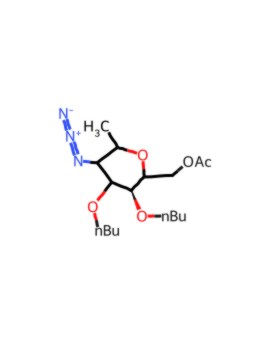 CCCCOC1C(N=[N+]=[N-])C(C)OC(COC(C)=O)[C@H]1OCCCC